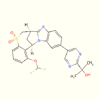 CC(C)(O)c1ncc(-c2ccc3nc4n(c3c2)[C@@H]2C[C@H]4CS(=O)(=O)c3cccc(OC(F)F)c32)cn1